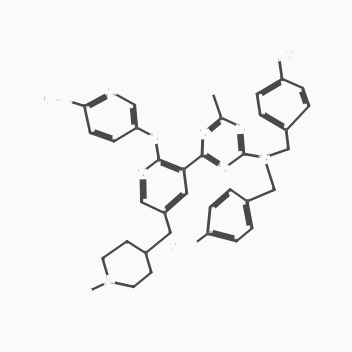 COc1ccc(CN(Cc2ccc(OC)cc2)c2nc(C)nc(-c3cc(CC4CCN(C(=O)O)CC4)cnc3Nc3ccc(OC)nc3)n2)cc1